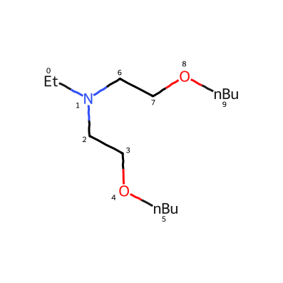 [CH2]CN(CCOCCCC)CCOCCCC